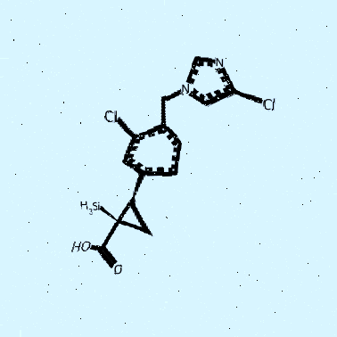 O=C(O)[C@@]1([SiH3])C[C@@H]1c1ccc(Cn2cnc(Cl)c2)c(Cl)c1